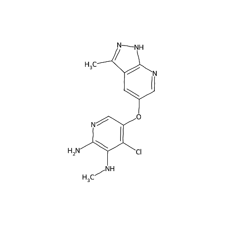 CNc1c(N)ncc(Oc2cnc3[nH]nc(C)c3c2)c1Cl